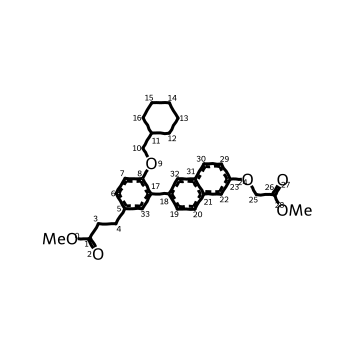 COC(=O)CCc1ccc(OCC2CCCCC2)c(-c2ccc3cc(OCC(=O)OC)ccc3c2)c1